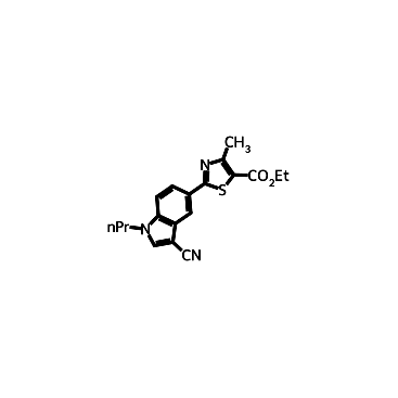 CCCn1cc(C#N)c2cc(-c3nc(C)c(C(=O)OCC)s3)ccc21